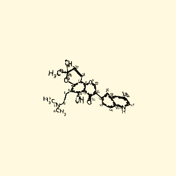 CN(C)CCc1c2c(c3occ(-c4ccc5[nH]ccc5c4)c(=O)c3c1O)C=CC(C)(C)O2